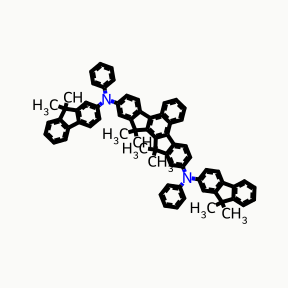 CC1(C)c2ccccc2-c2ccc(N(c3ccccc3)c3ccc4c(c3)C(C)(C)c3c5c(c6ccccc6c3-4)-c3ccc(N(c4ccccc4)c4ccc6c(c4)C(C)(C)c4ccccc4-6)cc3C5(C)C)cc21